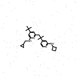 CC(C)(C)c1cc(CC(C)(C)c2ccnc(NC3CCC3)c2)nc(NCC2CC2)c1